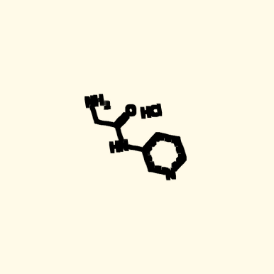 Cl.NCC(=O)Nc1cccnc1